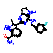 Cc1[nH]c2c(C(N)=O)cccc2c1-c1nc2c(c(NCc3cccc(F)c3)n1)NCC2